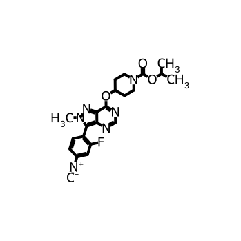 [C-]#[N+]c1ccc(-c2c3ncnc(OC4CCN(C(=O)OC(C)C)CC4)c3nn2C)c(F)c1